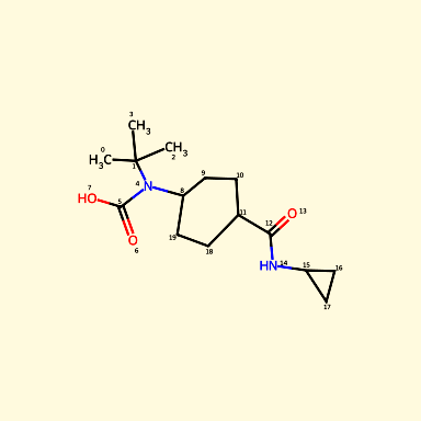 CC(C)(C)N(C(=O)O)C1CCC(C(=O)NC2CC2)CC1